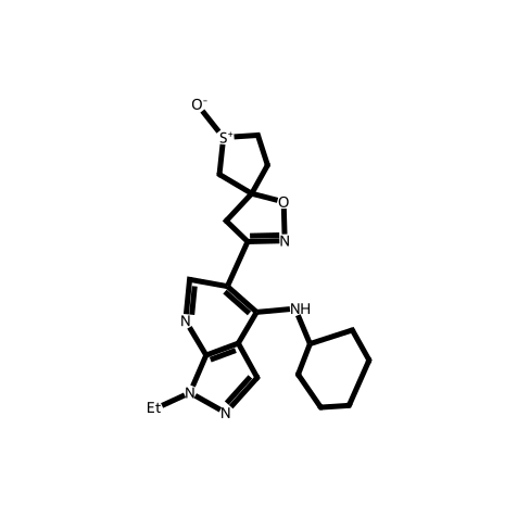 CCn1ncc2c(NC3CCCCC3)c(C3=NOC4(CC[S+]([O-])C4)C3)cnc21